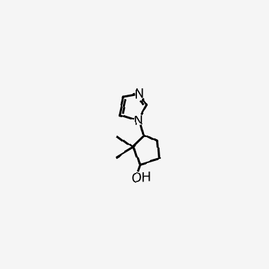 CC1(C)C(O)CCC1n1ccnc1